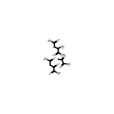 CC(=O)C(=O)O.O=C(O)CC(=O)C(=O)O.O=C(O)CC(O)C(=O)O